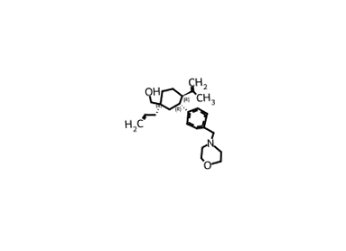 C=CC[C@]1(CO)CC[C@@H](C(=C)C)[C@H](c2ccc(CN3CCOCC3)cc2)C1